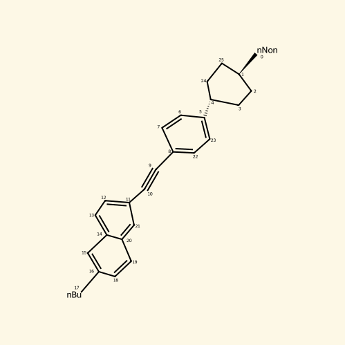 CCCCCCCCC[C@H]1CC[C@H](c2ccc(C#Cc3ccc4cc(CCCC)ccc4c3)cc2)CC1